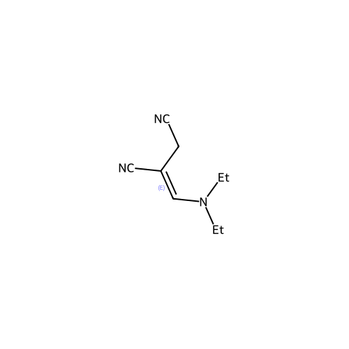 CCN(/C=C(/C#N)CC#N)CC